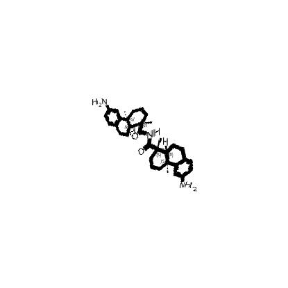 C[C@]1(C(=O)NC(=O)[C@@]2(C)CCC[C@]3(C)c4cc(N)ccc4CC[C@@H]23)CCC[C@]2(C)c3cc(N)ccc3CC[C@@H]12